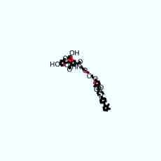 Cc1cc(OCCOCCOCCNC(=O)c2ccc3c(c2)C(=O)OC32c3ccc(O)cc3Oc3cc(O)ccc32)ccc1S(=O)(=O)N1CCN(c2ccc(-c3cccc(C)c3C)cc2)CC1